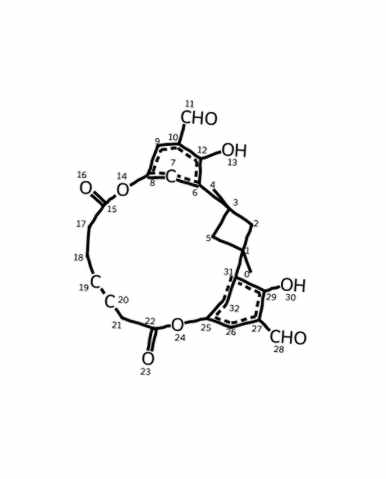 CC12CC(C)(C1)c1cc(cc(C=O)c1O)OC(=O)CCCCCC(=O)Oc1cc(C=O)c(O)c2c1